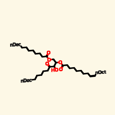 CCCCCCCC/C=C\CCCCCCCC(=O)OC(COC(=O)CCCCCCCCCCCCCCCCC)C(O)C(=O)CCCCCCCCCCCCCCC